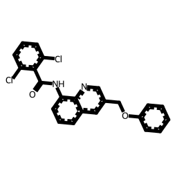 O=C(Nc1cccc2cc(COc3ccccc3)cnc12)c1c(Cl)cccc1Cl